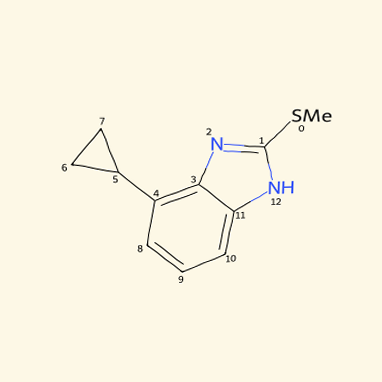 CSc1nc2c(C3CC3)cccc2[nH]1